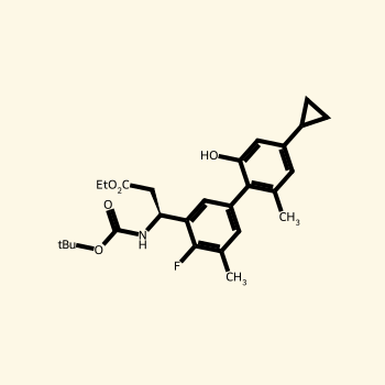 CCOC(=O)C[C@H](NC(=O)OC(C)(C)C)c1cc(-c2c(C)cc(C3CC3)cc2O)cc(C)c1F